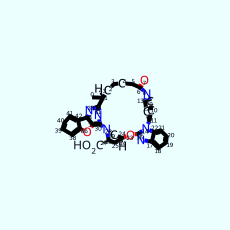 C[C@@H]1CCCCC(=O)N2CCC(CC2)n2c(nc3ccccc32)O[C@H]2C[C@@H](C(=O)O)N(C2)c2nc1nc1c2oc2ccccc21